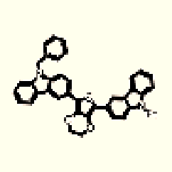 CCn1c2ccccc2c2cc(-c3sc(-c4ccc5c(c4)c4ccccc4n5Cc4ccccc4)c4c3OCCO4)ccc21